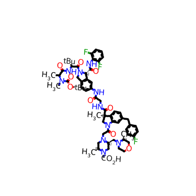 CC(C(=O)NC(C(=O)N1Cc2ccc(NC(=O)CNC(=O)[C@]3(C)CN(C(=O)CN4C[C@@H](C)N(C(=O)O)C[C@@H]4CN4CCOC[C@H]4C)c4cc(Cc5ccc(F)cc5)ccc43)cc2[C@H]1C(=O)Nc1c(F)cccc1F)C(C)(C)C)N(C)C(=O)OC(C)(C)C